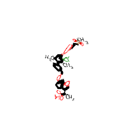 Cc1cc(OCCCS(C)(=O)=O)c(Cl)c(C)c1-c1cccc(COc2ccc3c(c2)OC[C@H]3C(C)C(=O)O)c1